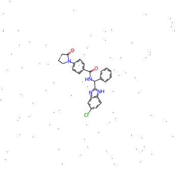 O=C(NC(c1ccccc1)c1nc2cc(Cl)ccc2[nH]1)c1ccc(N2CCCC2=O)cc1